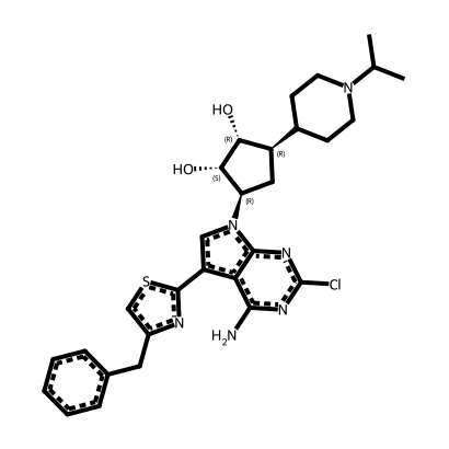 CC(C)N1CCC([C@H]2C[C@@H](n3cc(-c4nc(Cc5ccccc5)cs4)c4c(N)nc(Cl)nc43)[C@H](O)[C@@H]2O)CC1